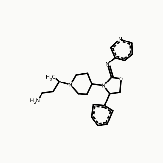 CC(CCN)N1CCC(N2C(=Nc3cccnc3)OCC2c2ccccc2)CC1